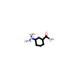 CCCC(=O)C1CCCC(N(CCC)CCC)C1